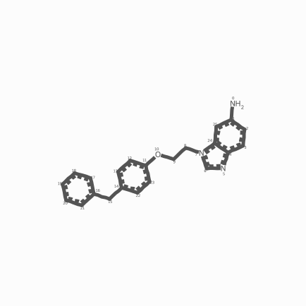 Nc1ccc2ncn(CCOc3ccc(Cc4ccccc4)cc3)c2c1